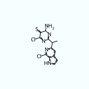 CC(C1=NC(N)C(=S)C(Cl)=N1)c1cc2cc[nH]c2c(Cl)n1